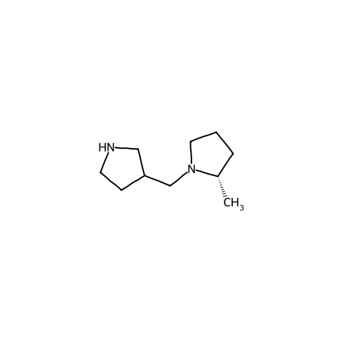 C[C@H]1CCCN1CC1CCNC1